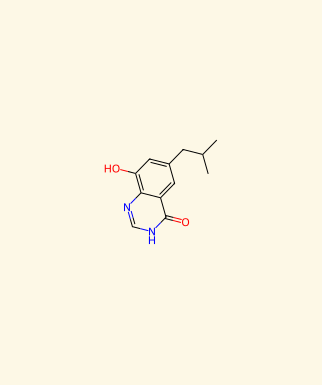 CC(C)Cc1cc(O)c2nc[nH]c(=O)c2c1